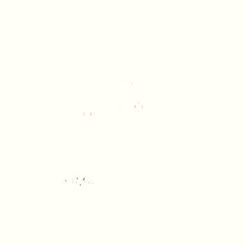 COc1ccc2cc(Oc3ccc(S(=O)(=O)c4ccc(C)cc4)cc3)ccc2c1